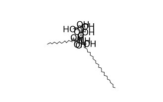 CCCCCCCCCCCCCCCCCCCCCCC(O)C(=O)N[C@H](CO[C@H]1O[C@H](CO)[C@H](O)[C@H](O)[C@H]1O)[C@H](O)[C@H](O)CCCCCCCCCCC